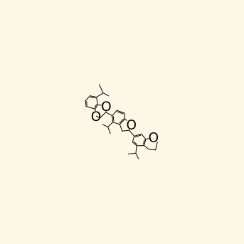 CC(C)c1cc(C2Cc3c(ccc(C4COc5cccc(C(C)C)c5O4)c3C(C)C)O2)cc2c1CCCO2